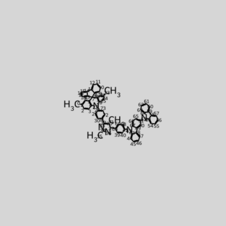 Cc1ccc2c(c1)C1(c3ccccc3-c3ccccc31)c1cc(C)ccc1N2c1ccc(-c2nc(C)nc(-c3ccc(-n4c5ccccc5c5cc(-n6c7ccccc7c7ccccc76)ccc54)cc3)c2C)cc1